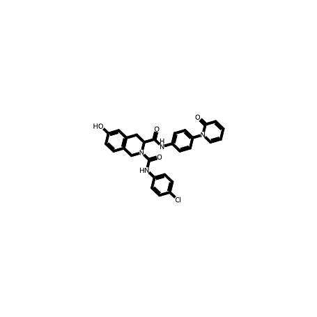 O=C(Nc1ccc(-n2ccccc2=O)cc1)C1Cc2cc(O)ccc2CN1C(=O)Nc1ccc(Cl)cc1